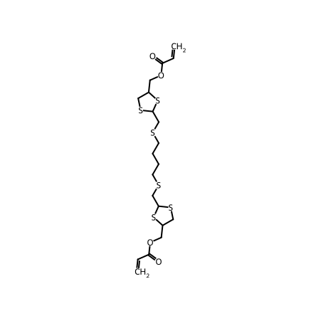 C=CC(=O)OCC1CSC(CSCCCCSCC2SCC(COC(=O)C=C)S2)S1